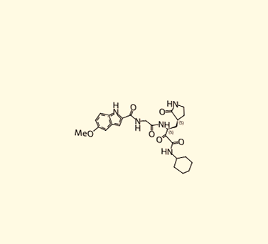 COc1ccc2[nH]c(C(=O)NCC(=O)N[C@@H](C[C@@H]3CCNC3=O)C(=O)C(=O)NC3CCCCC3)cc2c1